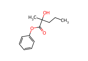 CCCC(C)(O)C(=O)Oc1ccccc1